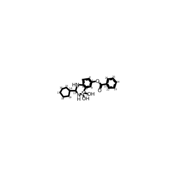 O=C(Oc1ccc2c(c1)S(O)(O)NC(C1CCCCC1)N2)c1ccccc1